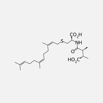 CC(C)=CCCC(C)=CCCC(C)=CCSC[C@H](NC(=O)[C@@H](C)[C@@H](C)C(=O)O)C(=O)O